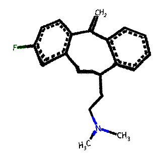 C=C1c2ccc(F)cc2CC(CCN(C)C)c2ccccc21